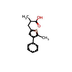 Cc1sc(CC(C)C(=O)O)cc1-c1ccccc1